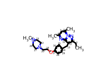 CCc1nn2c(C)cc(C)nc2c1Cc1ccc(OCCN2CCN(C)CC2)cc1